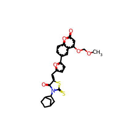 COCOc1cc(=O)oc2ccc(-c3ccc(/C=C4\SC(=S)N(C5CC6CCC5C6)C4=O)o3)cc12